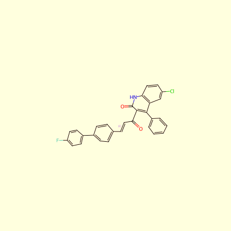 O=C(/C=C/c1ccc(-c2ccc(F)cc2)cc1)c1c(-c2ccccc2)c2cc(Cl)ccc2[nH]c1=O